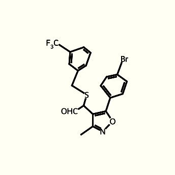 Cc1noc(-c2ccc(Br)cc2)c1C(C=O)SCc1cccc(C(F)(F)F)c1